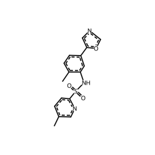 Cc1ccc(S(=O)(=O)Nc2cc(-c3cnco3)ccc2C)nc1